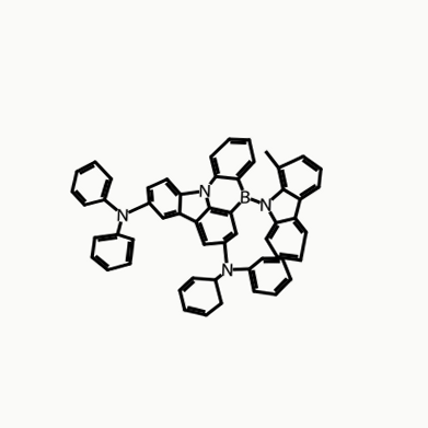 Cc1cccc2c3ccccc3n(B3c4ccccc4-n4c5ccc(N(c6ccccc6)c6ccccc6)cc5c5cc(N(c6ccccc6)C6C=CC=CC6)cc3c54)c12